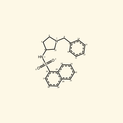 O=S(=O)(NC1CCN(Cc2ccccc2)C1)c1cccc2ccccc12